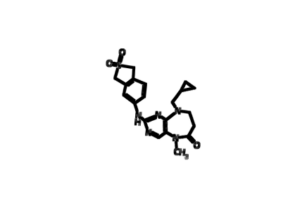 CN1C(=O)CCN(CC2CC2)c2nc(Nc3ccc4c(c3)CS(=O)(=O)C4)ncc21